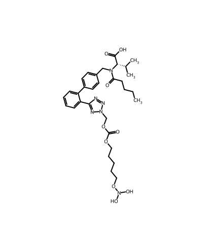 CCCCC(=O)N(Cc1ccc(-c2ccccc2-c2nnn(COC(=O)OCCCCCON(O)O)n2)cc1)[C@H](C(=O)O)C(C)C